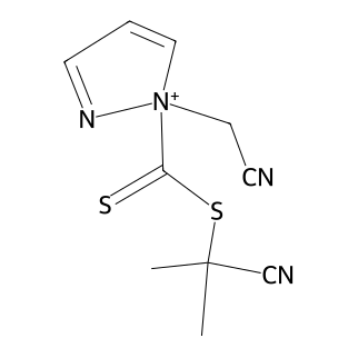 CC(C)(C#N)SC(=S)[N+]1(CC#N)C=CC=N1